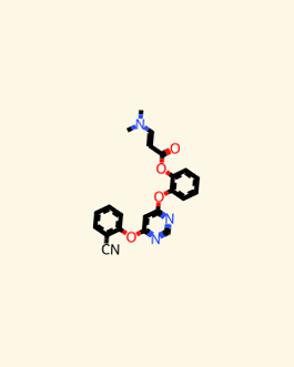 CN(C)C=CC(=O)Oc1ccccc1Oc1cc(Oc2ccccc2C#N)ncn1